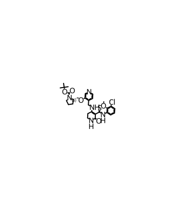 COc1c(Cl)cccc1NC(=S)C1=C(NCc2ccncc2OC[C@@H]2CCCN2C(=O)OC(C)(C)C)CCNC1=O